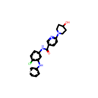 O=C(Nc1ccc(Cl)c(Nc2ccccc2)c1)c1ccc(N2CCC(O)CC2)nc1